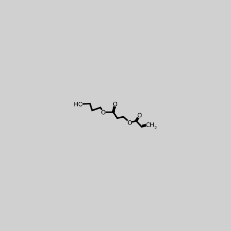 C=CC(=O)OCCC(=O)OCCCO